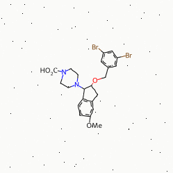 COc1ccc2c(c1)CC(OCc1cc(Br)cc(Br)c1)C2N1CCN(C(=O)O)CC1